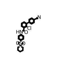 N#Cc1ccc(-c2cccc(C(=O)Nc3ccc(S(=O)(=O)N4CCCCC4)cc3)c2Cl)cc1